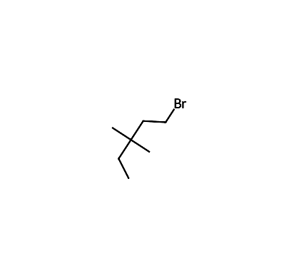 CCC(C)(C)CCBr